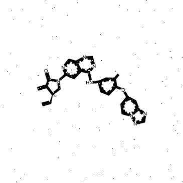 C=C[C@@H]1CN(c2cc3c(Nc4ccc(Oc5ccn6ncnc6c5)c(C)c4)ncnc3cn2)C(=O)C1=C